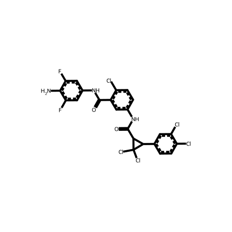 Nc1c(F)cc(NC(=O)c2cc(NC(=O)C3C(c4ccc(Cl)c(Cl)c4)C3(Cl)Cl)ccc2Cl)cc1F